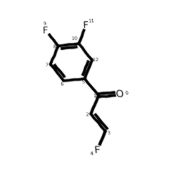 O=C(C=CF)c1ccc(F)c(F)c1